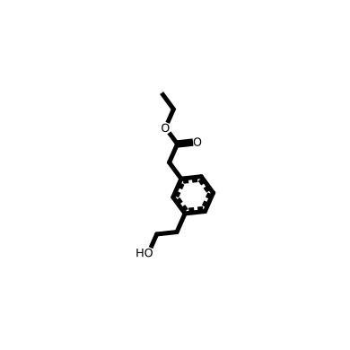 CCOC(=O)Cc1cccc(CCO)c1